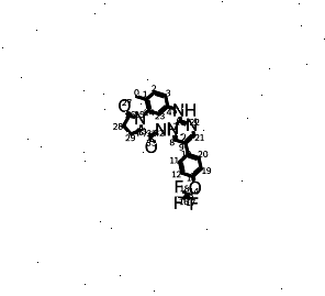 Cc1ccc(Nc2ncc(-c3ccc(OC(F)(F)F)cc3)cn2)cc1N1C(=O)CC[C@H]1C(N)=O